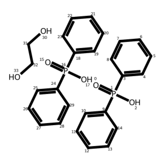 O=P(O)(c1ccccc1)c1ccccc1.O=P(O)(c1ccccc1)c1ccccc1.OCCO